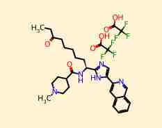 CCC(=O)CCCCC[C@H](NC(=O)C1CCN(C)CC1)c1ncc(-c2cc3ccccc3cn2)[nH]1.O=C(O)C(F)(F)F.O=C(O)C(F)(F)F